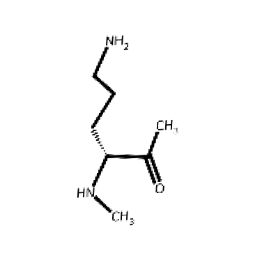 CN[C@H](CCCN)C(C)=O